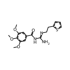 COc1cc(C(=O)NC(N)=NCCc2cccs2)cc(OC)c1OC